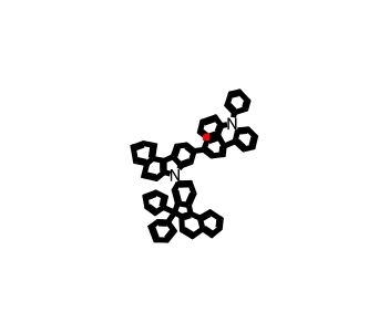 c1ccc(N(c2ccccc2)c2ccccc2-c2ccc(-c3ccc4c5c6ccccc6ccc5n(-c5ccc6c(c5)C(c5ccccc5)(c5ccccc5)c5ccc7ccccc7c5-6)c4c3)cc2)cc1